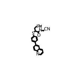 CC(C)CC(Sc1ccc(-c2ccc3ncccc3c2)cc1)C(=O)NCC#N